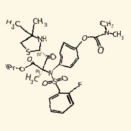 CC(C)OC(=O)[C@@](C)(C(=O)[C@H]1NC(C)(C)CS1)N(c1ccc(OC(=O)N(C)C)cc1)S(=O)(=O)c1ccccc1F